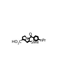 CCCc1ccc(C(=O)C2C(SC)=CC3=C(C(=O)O)CCN32)cc1